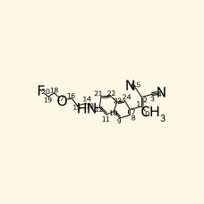 CC(=C(C#N)C#N)c1ccc2cc(NCCCOCCF)ccc2c1